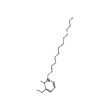 CCCCCCCCCCCCCCN1C=CC=C(CC)C1C